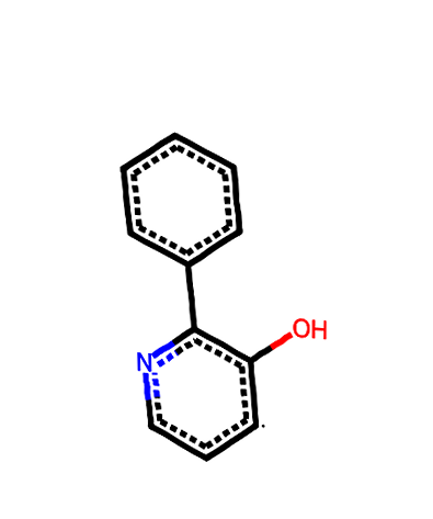 Oc1[c]ccnc1-c1ccccc1